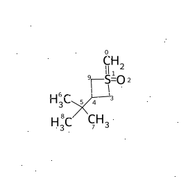 C=S1(=O)CC(C(C)(C)C)C1